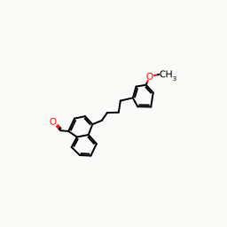 COc1cccc(CCCCc2ccc(C=O)c3ccccc23)c1